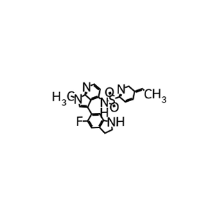 C/C=C1\C=CC(S(=O)(=O)Nc2ccnc3c2c(-c2cc4c(cc2F)CCN4)cn3C)=NC1